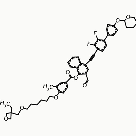 CCC1(COCCCCCCOc2ccc(C(=O)Oc3c(C=O)cc(C#Cc4ccc(-c5ccc(OC6CCCCO6)cc5)c(F)c4F)c4ccccc34)cc2C)COC1